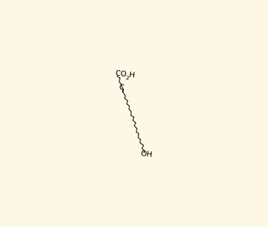 O=C(O)CCCCC/C=C/CCCCCCCCCCCCCCCCCCCCCO